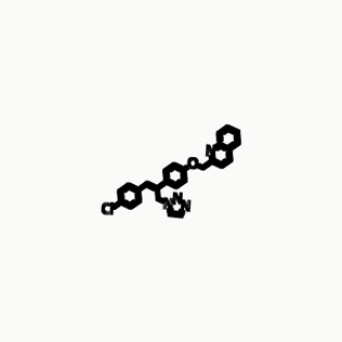 Clc1ccc(C=C(Cn2ccnn2)c2ccc(OCc3ccc4ccccc4n3)cc2)cc1